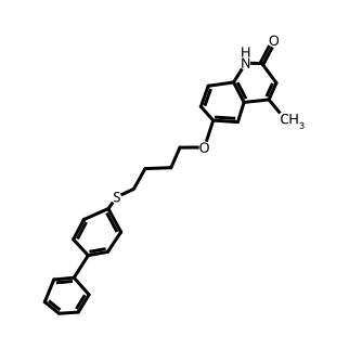 Cc1cc(=O)[nH]c2ccc(OCCCCSc3ccc(-c4ccccc4)cc3)cc12